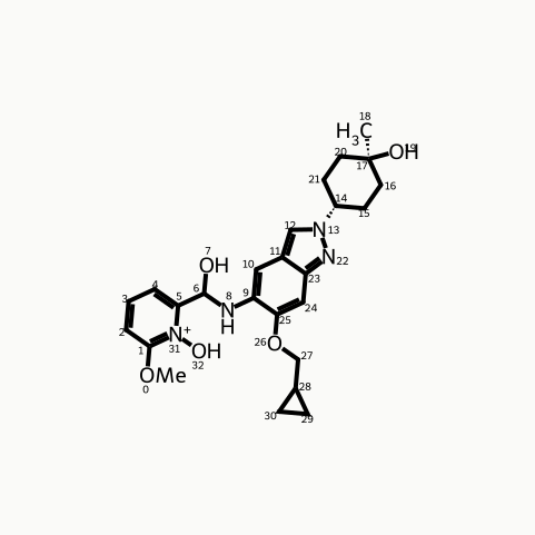 COc1cccc(C(O)Nc2cc3cn([C@H]4CC[C@](C)(O)CC4)nc3cc2OCC2CC2)[n+]1O